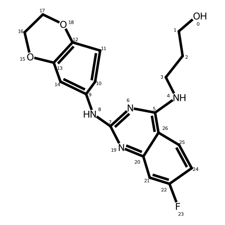 OCCCNc1nc(Nc2ccc3c(c2)OCCO3)nc2cc(F)ccc12